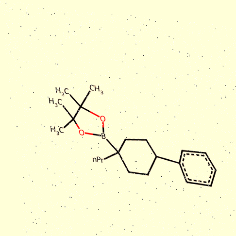 CCCC1(B2OC(C)(C)C(C)(C)O2)CCC(c2ccccc2)CC1